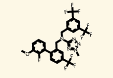 COc1cccc(-c2ccc(C(F)(F)F)cc2CN(Cc2cc(C(F)(F)F)cc(C(F)(F)F)c2)c2nnn(C)n2)c1F